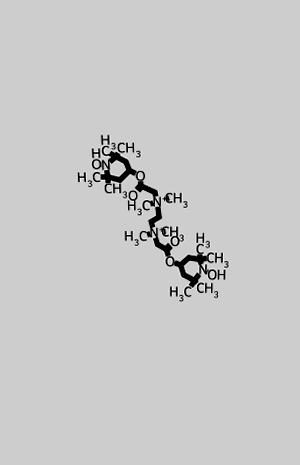 CC1(C)CC(OC(=O)C[N+](C)(C)CC[N+](C)(C)CC(=O)OC2CC(C)(C)N(O)C(C)(C)C2)CC(C)(C)N1O